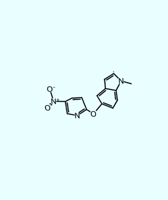 Cn1[c]cc2cc(Oc3ccc([N+](=O)[O-])cn3)ccc21